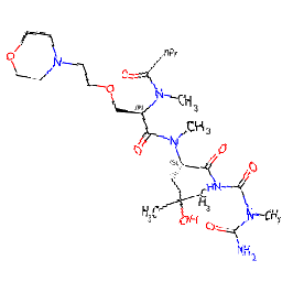 CCCC(=O)N(C)[C@H](COCCN1CCOCC1)C(=O)N(C)[C@@H](CC(C)(C)O)C(=O)NC(=O)N(C)C(N)=O